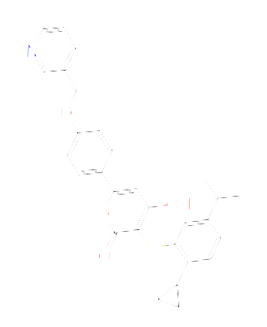 CC(C)c1ccc(C2CC2)c(Sc2c(O)cc(-c3ccc(OCc4cccnc4)cc3)oc2=O)c1